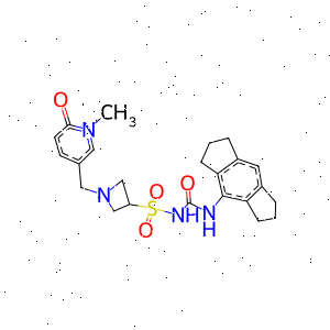 Cn1cc(CN2CC(S(=O)(=O)NC(=O)Nc3c4c(cc5c3CCC5)CCC4)C2)ccc1=O